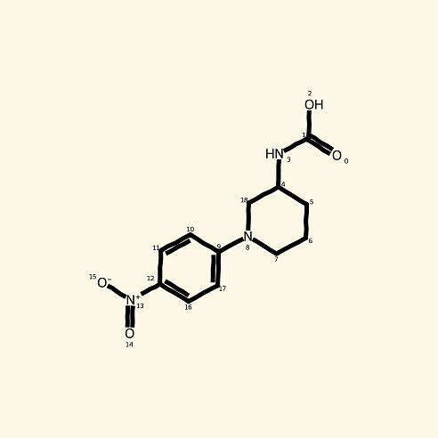 O=C(O)NC1CCCN(c2ccc([N+](=O)[O-])cc2)C1